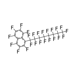 Fc1c(F)c(F)c2c(C(F)(F)C(F)(F)C(F)(F)C(F)(F)C(F)(F)C(F)(F)C(F)(F)C(F)(F)F)c(F)c(F)c(F)c2c1F